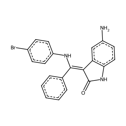 Nc1ccc2c(c1)C(=C(Nc1ccc(Br)cc1)c1ccccc1)C(=O)N2